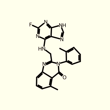 Cc1ccccc1-n1c(CNc2nc(F)nc3[nH]cnc23)nc2cccc(C)c2c1=O